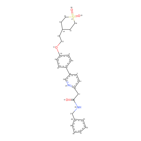 O=C(Cc1ccc(-c2ccc(OCCC3CCS(=O)(=O)CC3)cc2)cn1)NCc1ccccc1